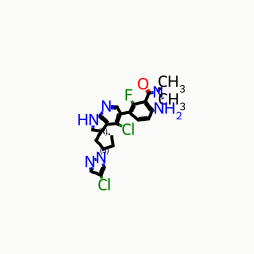 CN(C)C(=O)c1c(N)ccc(-c2cnc3c(c2Cl)[C@]2(CC[C@H](n4cc(Cl)cn4)C2)CN3)c1F